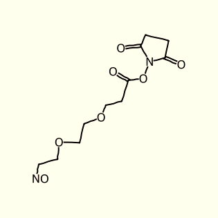 O=NCCOCCOCCC(=O)ON1C(=O)CCC1=O